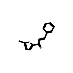 Cc1ccc(C(=O)/C=C/c2ccccc2)s1